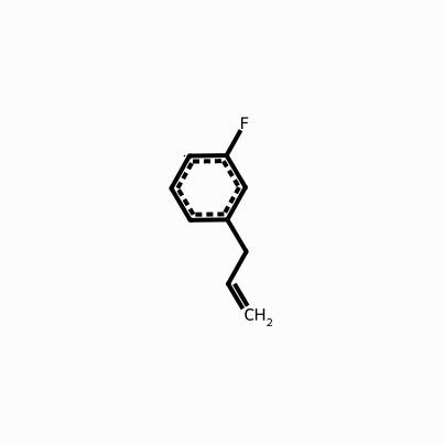 C=CCc1cc[c]c(F)c1